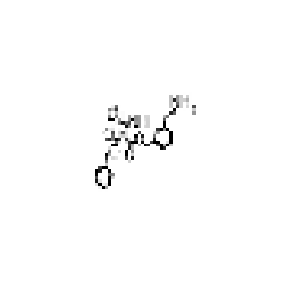 N=C(N1CCC1)N(C(=O)OCc1ccccc1)C(=O)OCc1cccc(CCN)c1